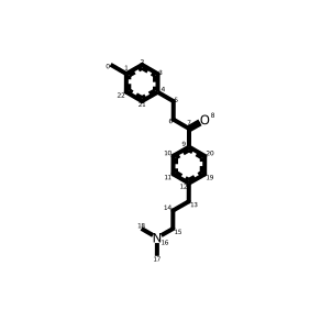 Cc1ccc(CCC(=O)c2ccc(CCCN(C)C)cc2)cc1